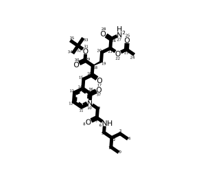 CCC(CC)CNC(=O)Cn1cccc(CC(=O)[C@H](CCC(OC(C)=O)C(N)=O)C(=O)OC(C)(C)C)c1=O